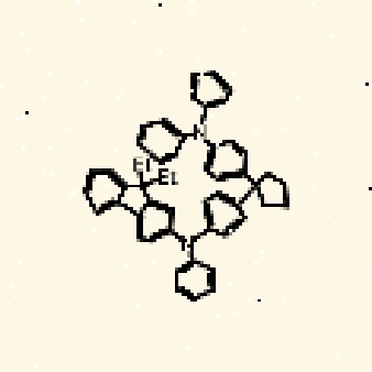 CCC1(CC)c2ccccc2-c2ccc(N(c3ccccc3)c3ccc(C4(c5ccc(N(c6ccccc6)c6ccccc6)cc5)CCCC4)cc3)cc21